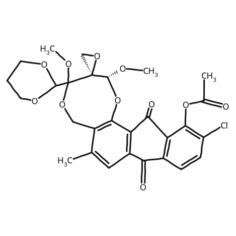 CO[C@@H]1Oc2c(c(C)cc3c2C(=O)c2c(ccc(Cl)c2OC(C)=O)C3=O)COC(OC)(C2OCCCO2)[C@]12CO2